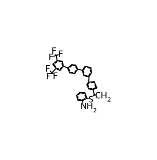 C=C(Sc1ccccc1N)c1ccc(-c2cccc(-c3ccc(-c4cc(C(F)(F)F)cc(C(F)(F)F)c4)cc3)c2)cc1